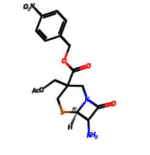 CC(=O)OCC1(C(=O)OCc2ccc([N+](=O)[O-])cc2)CS[C@@H]2C(N)C(=O)N2C1